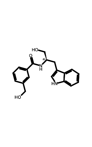 O=C(N[C@@H](CO)Cc1c[nH]c2ccccc12)c1cccc(CO)c1